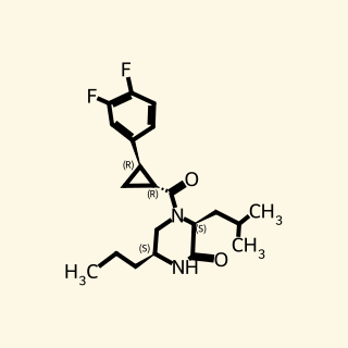 CCC[C@H]1CN(C(=O)[C@@H]2C[C@H]2c2ccc(F)c(F)c2)[C@@H](CC(C)C)C(=O)N1